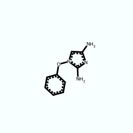 Nc1cn(Oc2ccccc2)c(N)n1